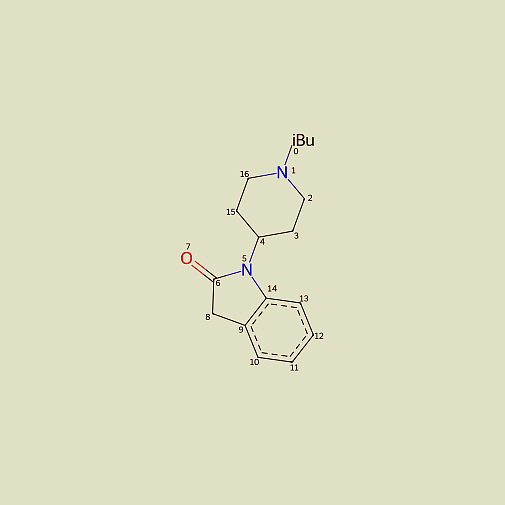 CCC(C)N1CCC(N2C(=O)Cc3ccccc32)CC1